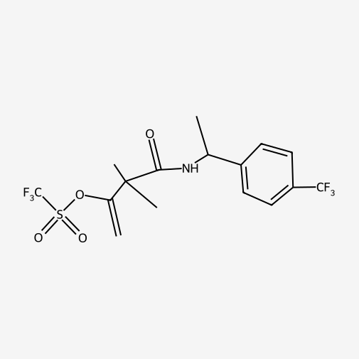 C=C(OS(=O)(=O)C(F)(F)F)C(C)(C)C(=O)NC(C)c1ccc(C(F)(F)F)cc1